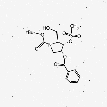 CC(C)(C)OC(=O)N1C[C@@H](OC(=O)c2ccccc2)[C@@H](OS(C)(=O)=O)[C@@H]1CO